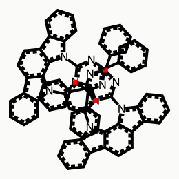 c1ccc(-c2nc(-c3ccccc3)nc(-n3c4ccccc4c4ccc5c6ccccc6n(-c6cccc(-n7c8ccccc8c8ccc9c%10ccccc%10n(-c%10nc(-c%11ccccc%11)nc(-c%11ccccc%11)n%10)c9c87)c6)c5c43)n2)cc1